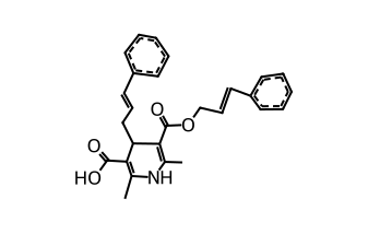 CC1=C(C(=O)O)C(CC=Cc2ccccc2)C(C(=O)OCC=Cc2ccccc2)=C(C)N1